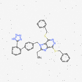 CC(C)(C)Cc1nc2c(SCc3ccccc3)nnc(SCc3ccccc3)c2n1Cc1ccc(-c2ccccc2-c2nnn[nH]2)cc1